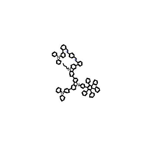 CCCCn1c2ccc(-c3ccc4c(c3)c3cc(-c5ccc(N(c6ccccc6)c6ccccc6)cc5)ccc3n4-c3ccc(-c4c(-c5ccccc5)c(-c5ccccc5)c(-c5ccccc5)c(-c5ccccc5)c4-c4ccccc4)cc3)cc2c2cc(-c3ccccc3/C=C/c3ccc(/C=C/c4ccccc4-c4cccc(N(c5ccccc5)c5ccccc5)c4)cc3)ccc21